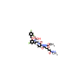 CNC(=O)C=CCCC(NC(=O)OC)C(=O)Nc1cccn(Cc2cc3cc(F)cc(OCc4ccc(F)cc4F)c3n2C(=O)O)c1=O